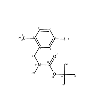 Bc1ccc(F)cc1CN(C)C(=O)OC(C)(C)C